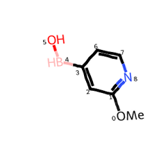 COc1cc(BO)ccn1